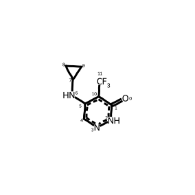 O=c1[nH]ncc(NC2CC2)c1C(F)(F)F